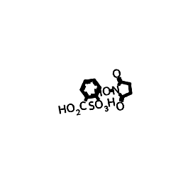 O=C(O)c1ccccc1S(=O)(=O)O.O=C1CCC(=O)N1O